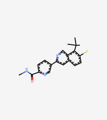 CNC(=O)c1ccc(-c2cc3ccc(F)c(C(C)(C)C)c3cn2)cn1